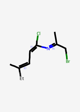 CC/C(C)=C/C=C(Cl)\N=C(/C)CBr